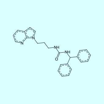 O=C(NCCCn1ccc2cccnc21)NC(c1ccccc1)c1ccccc1